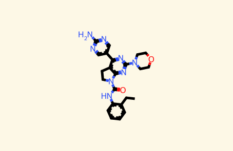 CCc1ccccc1NC(=O)N1CCc2c(-c3cnc(N)nc3)nc(N3CCOCC3)nc21